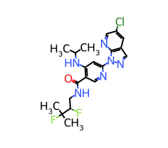 CC(C)Nc1cc(-n2ncc3cc(Cl)cnc32)ncc1C(=O)NC[C@@H](F)C(C)(C)F